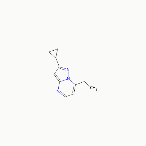 CCc1ccnc2cc(C3CC3)nn12